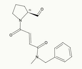 CN(Cc1ccccc1)C(=O)C=CC(=O)N1CCC[C@H]1C=O